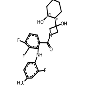 Cc1ccc(Nc2c(C(=O)N3CC(O)([C@@H]4CCCC[C@@H]4O)C3)ccc(F)c2F)c(F)c1